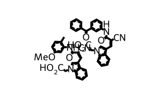 COc1ccc(C)c(NC(=O)C(C#N)=Cc2cn(CC(=O)O)c3ccccc23)c1.N#CC(=Cc1cn(CC(=O)O)c2ccccc12)C(=O)Nc1cccc(C(=O)c2ccccc2)c1